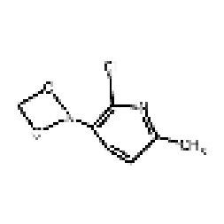 Cc1ccc(N2OCO2)c(Cl)n1